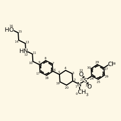 CN(C1CCC(c2ccc(CCNCCCO)cc2)CC1)S(=O)(=O)c1ccc(Cl)cc1